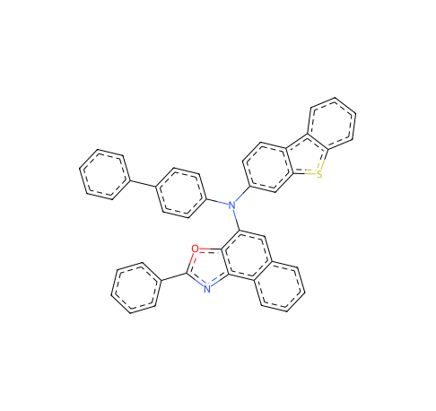 c1ccc(-c2ccc(N(c3ccc4c(c3)sc3ccccc34)c3cc4ccccc4c4nc(-c5ccccc5)oc34)cc2)cc1